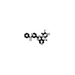 COc1cncc2nc(-c3ccnc(Nc4ccccc4)c3)nc(N3CCNC(F)C3C)c12